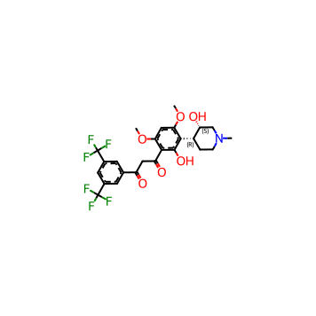 COc1cc(OC)c([C@H]2CCN(C)C[C@H]2O)c(O)c1C(=O)CC(=O)c1cc(C(F)(F)F)cc(C(F)(F)F)c1